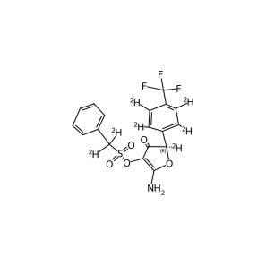 [2H]c1c([2H])c([C@@]2([2H])OC(N)=C(OS(=O)(=O)C([2H])([2H])c3ccccc3)C2=O)c([2H])c([2H])c1C(F)(F)F